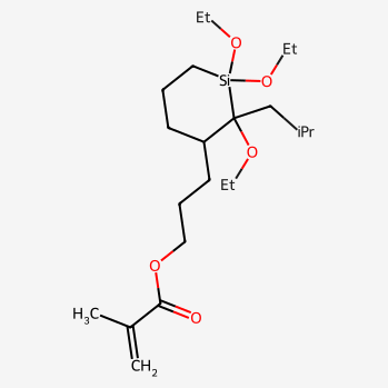 C=C(C)C(=O)OCCCC1CCC[Si](OCC)(OCC)C1(CC(C)C)OCC